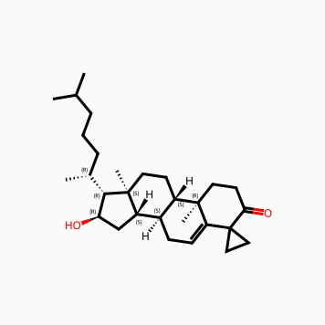 CC(C)CCC[C@@H](C)[C@H]1[C@H](O)C[C@H]2[C@@H]3CC=C4C5(CC5)C(=O)CC[C@]4(C)[C@H]3CC[C@]12C